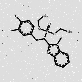 Cc1c(C(Cc2ccc(F)c(F)c2)P(=O)(OCC(C)(C)C)OCC(C)(C)C)sc2ccccc12